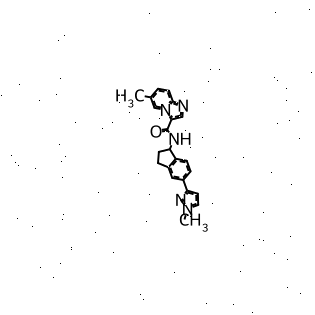 Cc1ccc2ncc(C(=O)NC3CCc4cc(-c5ccn(C)n5)ccc43)n2c1